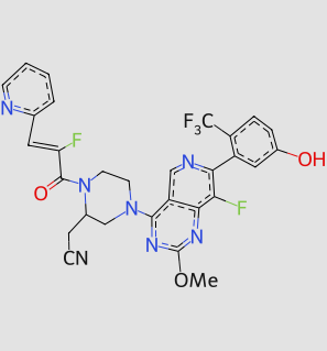 COc1nc(N2CCN(C(=O)/C(F)=C/c3ccccn3)C(CC#N)C2)c2cnc(-c3cc(O)ccc3C(F)(F)F)c(F)c2n1